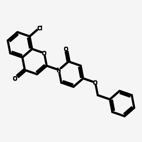 O=c1cc(-n2ccc(OCc3ccccc3)cc2=O)oc2c(Cl)cccc12